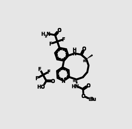 C[C@@H]1CCC[C@H](NC(=O)OC(C)(C)C)c2cc(ccn2)-c2ccc(C(F)(F)C(N)=O)cc2NC1=O.O=C(O)C(F)(F)F